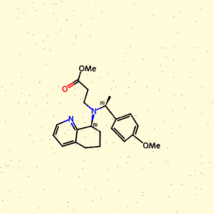 COC(=O)CCN([C@@H](C)c1ccc(OC)cc1)[C@H]1CCCc2cccnc21